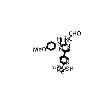 CO[C@H]1CC[C@H](Nc2nc(-c3ccc([13C]([13CH3])([13CH3])O)nc3)cnc2N[13CH2][13CH]=O)CC1